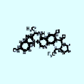 C[C@H](Nc1ncnc2cc(C(=O)N3CCS[C@H]3CC(F)(F)F)c(Cl)cc12)c1nc2cc(Cl)ccc2[nH]1